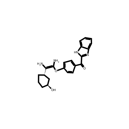 N/C(Oc1ccc(C(=O)c2nc3ccccc3[nH]2)cc1)=C(\N)[C@H]1CCC[C@H](O)C1